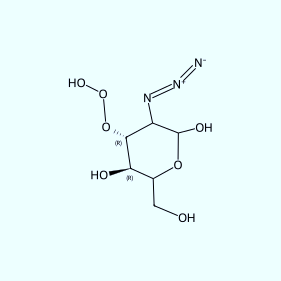 [N-]=[N+]=NC1C(O)OC(CO)[C@@H](O)[C@@H]1OOO